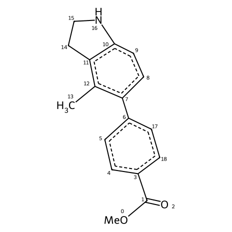 COC(=O)c1ccc(-c2ccc3c(c2C)CCN3)cc1